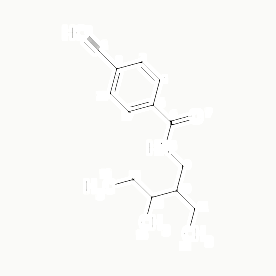 C#Cc1ccc(C(=O)NCC(CC)C(C)CC)cc1